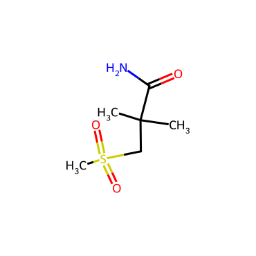 CC(C)(CS(C)(=O)=O)C(N)=O